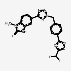 Cn1c(=O)[nH]c2cc(-c3nnn(Cc4ccc(-c5nnc(C(F)F)o5)cc4)n3)ccc21